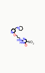 O=c1[nH]c(NCCCOc2cc(CN3CCCCC3)ccn2)ncc1[N+](=O)[O-]